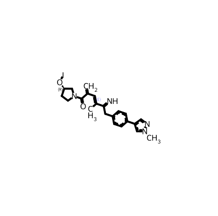 C=C(/C=C(\C)C(=N)Cc1ccc(-c2cnn(C)c2)cc1)C(=O)N1CC[C@@H](OI)C1